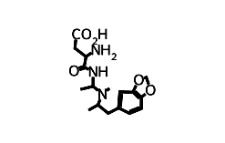 CC(Cc1ccc2c(c1)OCO2)N(C)C(C)NC(=O)C(N)CC(=O)O